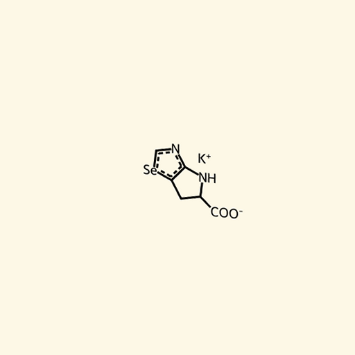 O=C([O-])C1Cc2[se]cnc2N1.[K+]